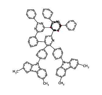 Cc1ccc2c(c1)c1cc(C)ccc1n2-c1ccc(-c2nc(-c3cc(-c4ccccc4)nc(-c4ccccc4)c3)cc(-c3ccccc3-c3cc(-c4ccccc4)nc(-c4ccccc4)n3)c2-c2ccc(-n3c4ccc(C)cc4c4cc(C)ccc43)cc2)cc1